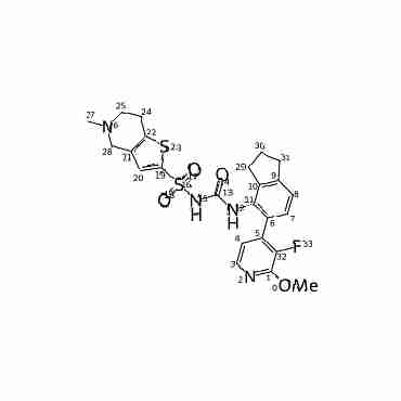 COc1nccc(-c2ccc3c(c2NC(=O)NS(=O)(=O)c2cc4c(s2)CCN(C)C4)CCC3)c1F